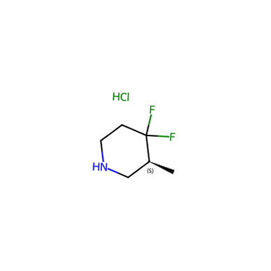 C[C@H]1CNCCC1(F)F.Cl